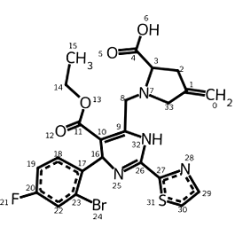 C=C1CC(C(=O)O)N(CC2=C(C(=O)OCC)C(c3ccc(F)cc3Br)N=C(c3nccs3)N2)C1